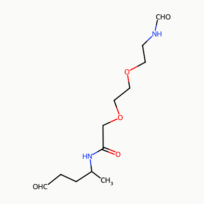 CC(CCC=O)NC(=O)COCCOCCNC=O